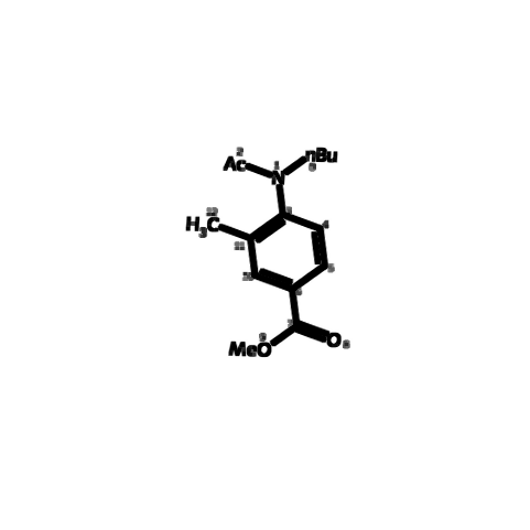 CCCCN(C(C)=O)c1ccc(C(=O)OC)cc1C